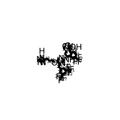 CC[C@@H]1C[C@H](Nc2ncc(OCCCc3nnn[nH]3)c(Cc3cc(C(F)(F)F)cc(C(F)(F)F)c3)n2)c2cc(C(F)(F)F)ccc2N1C(=O)O